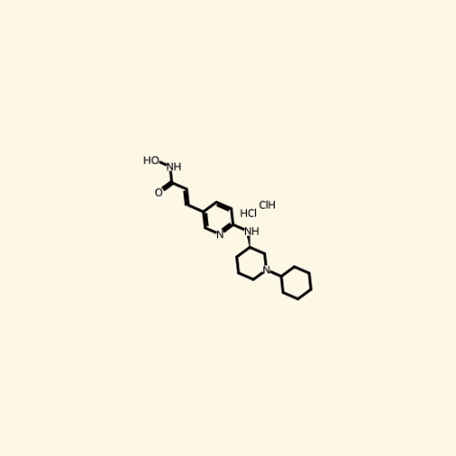 Cl.Cl.O=C(/C=C/c1ccc(N[C@@H]2CCCN(C3CCCCC3)C2)nc1)NO